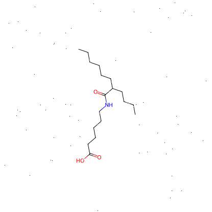 CCCCCCC(CCCC)C(=O)NCCCCCC(=O)O